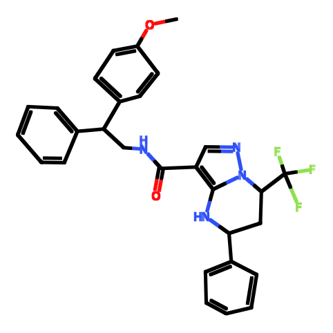 COc1ccc(C(CNC(=O)c2cnn3c2NC(c2ccccc2)CC3C(F)(F)F)c2ccccc2)cc1